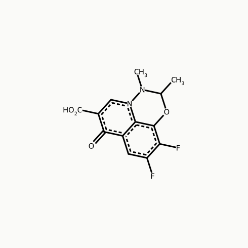 CC1Oc2c(F)c(F)cc3c(=O)c(C(=O)O)cn(c23)N1C